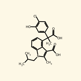 Cc1c(C(=O)O)c2c(C(C)(C(=O)O)c3ccc(Cl)c(O)c3)cccc2n1CC(C)C